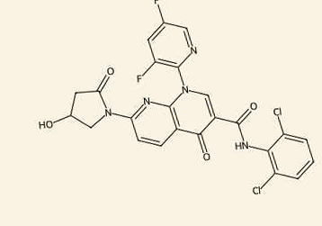 O=C(Nc1c(Cl)cccc1Cl)c1cn(-c2ncc(F)cc2F)c2nc(N3CC(O)CC3=O)ccc2c1=O